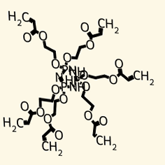 C=CC(=O)OCCOP1(OCCOC(=O)C=C)=N[PH](OCCOC(=O)C=C)(OCCOC(=O)C=C)N[PH](OCCOC(=O)C=C)(OCCOC(=O)C=C)N1